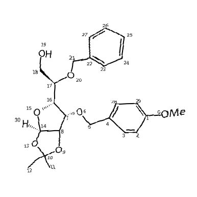 COc1ccc(CO[C@@H]2C3OC(C)(C)O[C@H]3O[C@@H]2[C@@H](CO)OCc2ccccc2)cc1